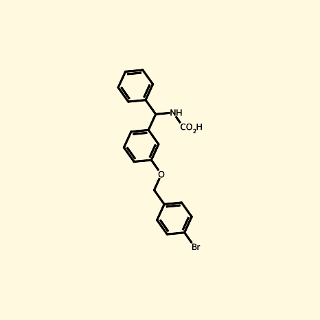 O=C(O)NC(c1ccccc1)c1cccc(OCc2ccc(Br)cc2)c1